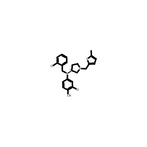 Cc1ccc(CN2CC[C@H](N(Cc3ccccc3Cl)c3ccc(C#N)c(Cl)c3)C2)s1